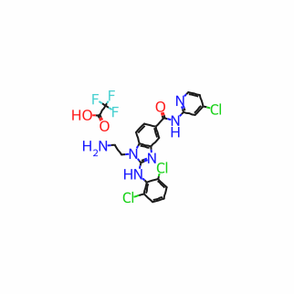 NCCn1c(Nc2c(Cl)cccc2Cl)nc2cc(C(=O)Nc3cc(Cl)ccn3)ccc21.O=C(O)C(F)(F)F